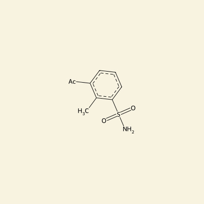 CC(=O)c1cccc(S(N)(=O)=O)c1C